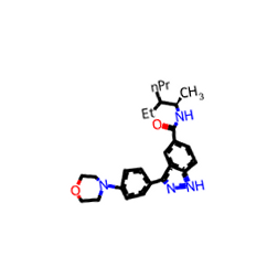 CCCC(CC)[C@@H](C)NC(=O)c1ccc2[nH]nc(-c3ccc(N4CCOCC4)cc3)c2c1